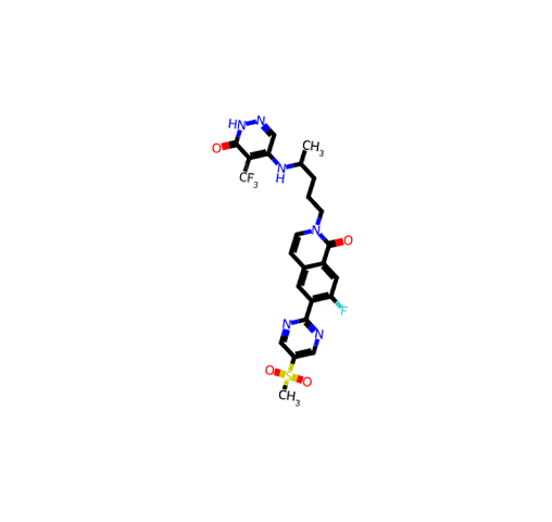 CC(CCCn1ccc2cc(-c3ncc(S(C)(=O)=O)cn3)c(F)cc2c1=O)Nc1cn[nH]c(=O)c1C(F)(F)F